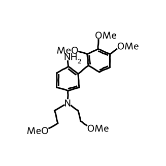 COCCN(CCOC)c1ccc(N)c(-c2ccc(OC)c(OC)c2OC)c1